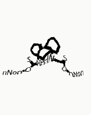 CCCCCCCCCOC(=S)NC1(CC2(NC(=S)OCCCCCCCCC)CCCCC2)CCCCC1